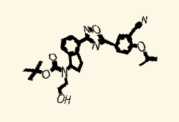 CC(C)Oc1ccc(-c2nc(-c3cccc4c3CCC4N(CCO)C(=O)OC(C)(C)C)no2)cc1C#N